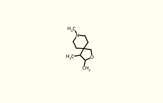 CC1OCC2(CCN(C)CC2)C1C